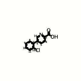 O=C(O)c1ccc(-c2ccccc2Cl)cn1